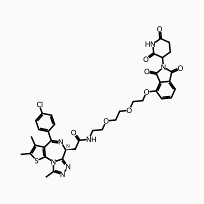 Cc1sc2c(c1C)C(c1ccc(Cl)cc1)=N[C@@H](CC(=O)NCCOCCOCCOc1cccc3c1C(=O)N(C1CCC(=O)NC1=O)C3=O)c1nnc(C)n1-2